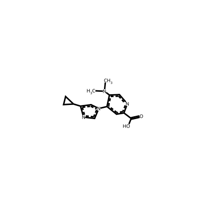 CN(C)c1cnc(C(=O)O)cc1-n1cnc(C2CC2)c1